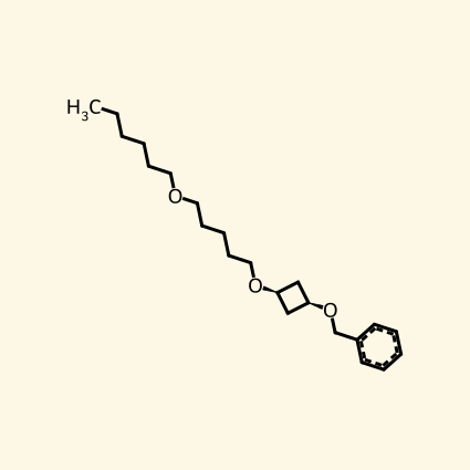 CCCCCCOCCCCCO[C@H]1C[C@@H](OCc2ccccc2)C1